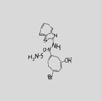 NSON(Nc1nc2c(s1)=CC=CCC=2)/C1=C/C/C(Br)=C\C=C(\O)C1